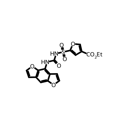 CCOC(=O)c1coc(S(=O)(=O)NC(=O)Nc2c3ccoc3cc3ccoc23)c1